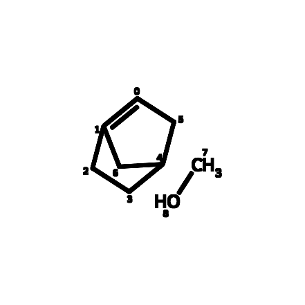 C1=C2CCC(C1)C2.CO